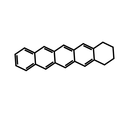 c1ccc2cc3cc4cc5c(cc4cc3cc2c1)CCCC5